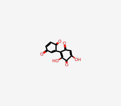 O=C1C=CC(=O)C(C2=C(O)C(=O)C(O)=CC2=O)=C1